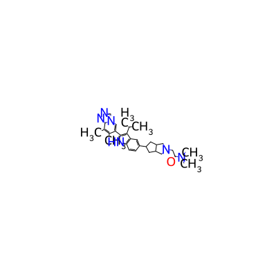 Cc1c(-c2[nH]c3ccc(C4CC5CN(CC(=O)N(C)C)CC5C4)cc3c2C(C)C)cn2cnnc2c1C